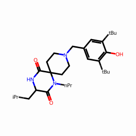 CCCN1C(=O)C(CC(C)C)NC(=O)C12CCN(Cc1cc(C(C)(C)C)c(O)c(C(C)(C)C)c1)CC2